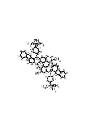 CC(C)c1cc(N(c2ccc([Si](C)(C)C)cc2)c2cccc3c2oc2ccccc23)c2cc3c4c(cc(N(c5ccc([Si](C)(C)C)cc5)c5cccc6c5oc5ccccc56)c5ccc1c2c54)CCC3(C)C